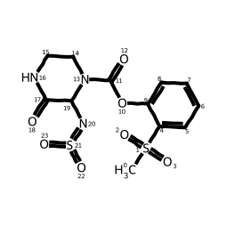 CS(=O)(=O)c1ccccc1OC(=O)N1CCNC(=O)C1N=S(=O)=O